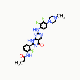 C=CC(=O)Nc1cccc(-c2nc(=O)c3cnc(Nc4ccc(N5CCN(C)CC5)c(F)c4F)nc3[nH]2)c1F